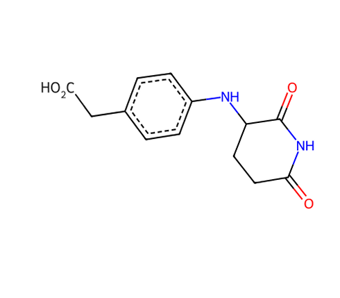 O=C(O)Cc1ccc(NC2CCC(=O)NC2=O)cc1